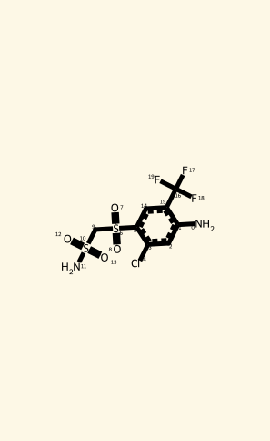 Nc1cc(Cl)c(S(=O)(=O)CS(N)(=O)=O)cc1C(F)(F)F